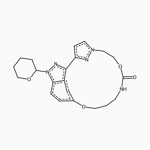 O=C1NCCCOc2ccc3c(c2)c(nn3C2CCCCO2)-c2ccn(n2)CCO1